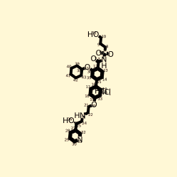 Cl.Cl.O=C(NS(=O)(=O)CCCO)c1ccc(-c2ccc(OCCNC[C@@H](O)c3cccnc3)cc2)cc1OC1CCCCC1